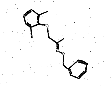 C/C(COc1c(C)cccc1C)=N\OCc1ccccc1